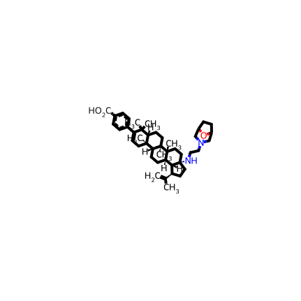 C=C(C)[C@@H]1CC[C@]2(NCCN3CC4CCC(C3)O4)CC[C@]3(C)[C@H](CC[C@@H]4[C@@]5(C)CC=C(c6ccc(C(=O)O)cc6)C(C)(C)[C@@H]5CC[C@]43C)[C@@H]12